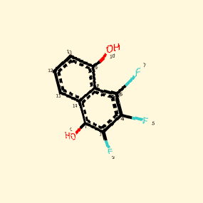 Oc1c(F)c(F)c(F)c2c(O)cccc12